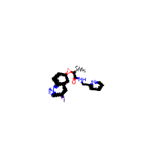 CSC(Oc1ccc2ncc(I)cc2c1)C(=O)NCc1ccccn1